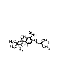 CC(C)COc1ccc(C(C)(C)CC(C)(C)C)cc1[N+](=O)[O-]